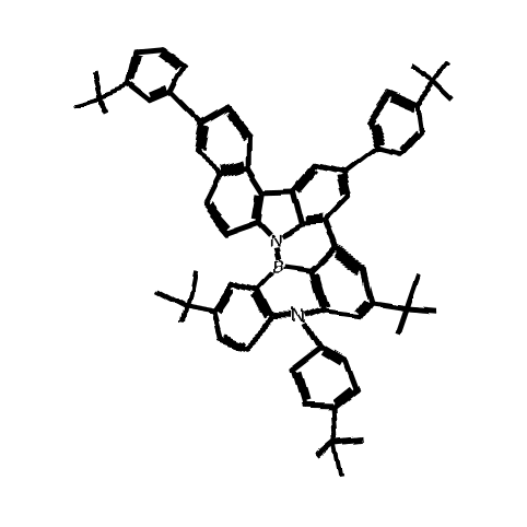 CC(C)(C)c1ccc(-c2cc3c4c(c2)c2c5ccc(-c6cccc(C(C)(C)C)c6)cc5ccc2n4B2c4cc(C(C)(C)C)ccc4N(c4ccc(C(C)(C)C)cc4)c4cc(C(C)(C)C)cc-3c42)cc1